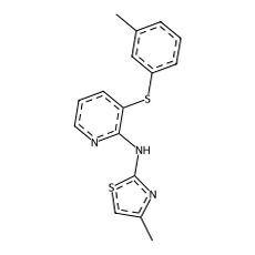 Cc1cccc(Sc2cccnc2Nc2nc(C)cs2)c1